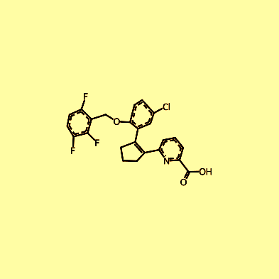 O=C(O)c1cccc(C2=C(c3cc(Cl)ccc3OCc3c(F)ccc(F)c3F)CCC2)n1